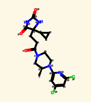 C[C@H]1CN(C(=O)CCC2(C3CC3)NC(=O)NC2=O)CCN1c1cc(Cl)cc(Cl)n1